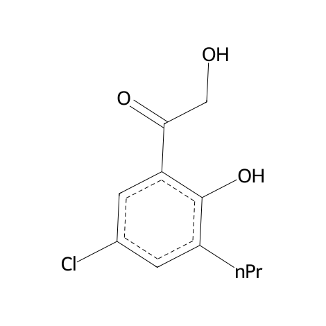 CCCc1cc(Cl)cc(C(=O)CO)c1O